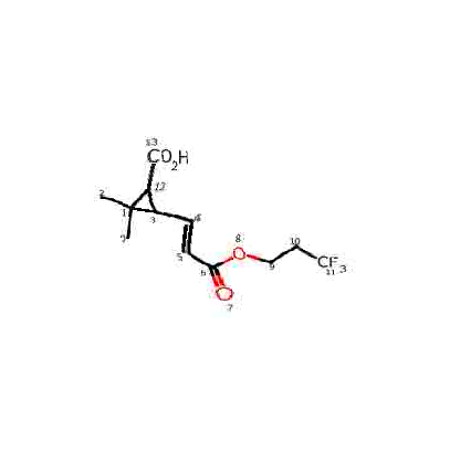 CC1(C)C(C=CC(=O)OCCC(F)(F)F)C1C(=O)O